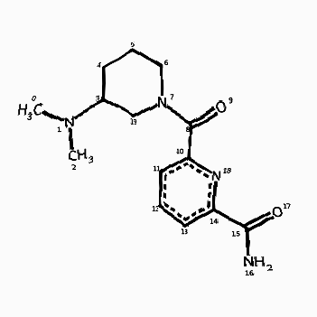 CN(C)C1CCCN(C(=O)c2cc[c]c(C(N)=O)n2)C1